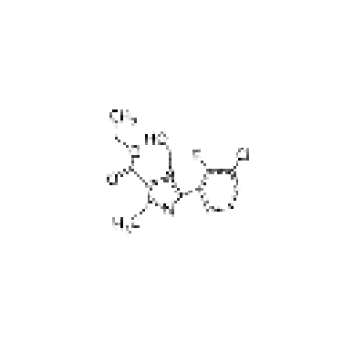 CCOC(=O)c1c(C)nc(-c2cccc(Cl)c2F)n1CO